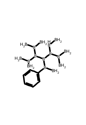 BBB(B(B)B)B(B(B(B)B)B(B)B)B(B)c1ccccc1